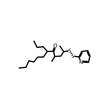 CCCCCCC(CCC)C(=O)C(C)CC(C)SSc1ccccn1